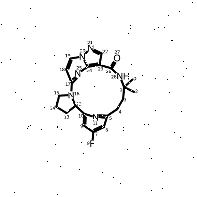 CC1(C)CCc2cc(F)cc(n2)C2CCCN2c2ccn3ncc(c3n2)C(=O)N1